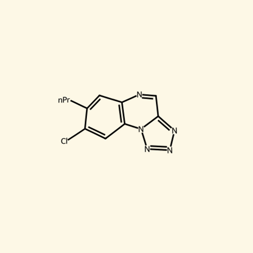 CCCc1cc2ncc3nnnn3c2cc1Cl